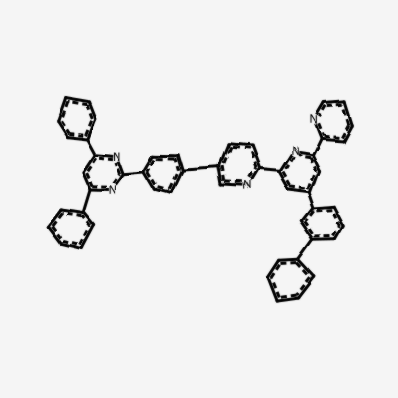 c1ccc(-c2cccc(-c3cc(-c4ccccn4)nc(-c4ccc(-c5ccc(-c6nc(-c7ccccc7)cc(-c7ccccc7)n6)cc5)cn4)c3)c2)cc1